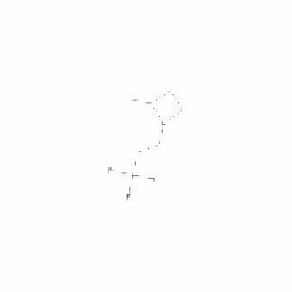 CC1CCN1CCC(F)(F)F